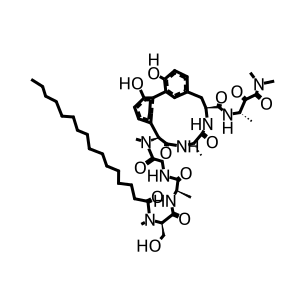 CCCCCCCCCCCCCCCC(=O)N(C)[C@H](CO)C(=O)N[C@H](C)C(=O)NCC(=O)N(C)[C@@H]1C(=O)N[C@@H](C)C(=O)N[C@H](C(=O)N[C@@H](C)C(=O)C(=O)N(C)C)Cc2ccc(O)c(c2)-c2cc1ccc2O